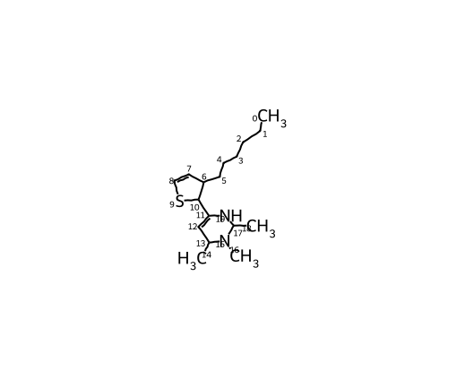 CCCCCCC1C=CSC1C1=CC(C)N(C)C(C)N1